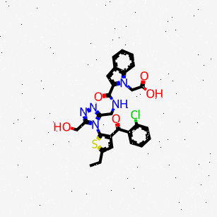 CCc1cc(C(=O)c2ccccc2Cl)c(-n2c(CO)nnc2CNC(=O)c2cc3ccccc3n2CC(=O)O)s1